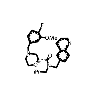 COc1cc(CN2CCO[C@@H](C(=O)N(Cc3ccc4ncccc4c3)CC(C)C)C2)ccc1F